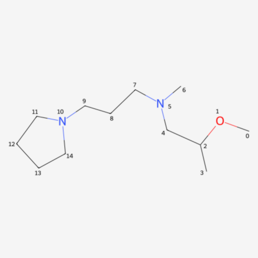 COC(C)CN(C)CCCN1CCCC1